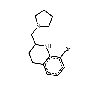 Brc1cccc2c1NC(CN1CCCC1)CC2